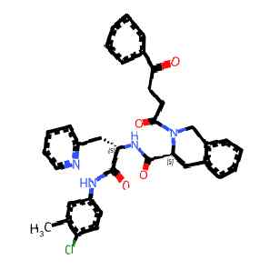 Cc1cc(NC(=O)[C@H](Cc2ccccn2)NC(=O)[C@@H]2Cc3ccccc3CN2C(=O)CCC(=O)c2ccccc2)ccc1Cl